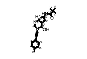 Cc1ccc(C#CN2C=Nc3[nH]c(NC(=O)C(C)(C)C)cc3C2O)cc1